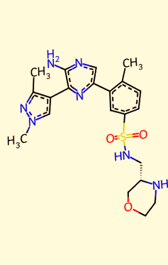 Cc1ccc(S(=O)(=O)NC[C@H]2COCCN2)cc1-c1cnc(N)c(-c2cn(C)nc2C)n1